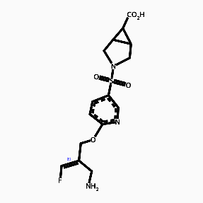 NC/C(=C\F)COc1ccc(S(=O)(=O)N2CC3C(C2)C3C(=O)O)cn1